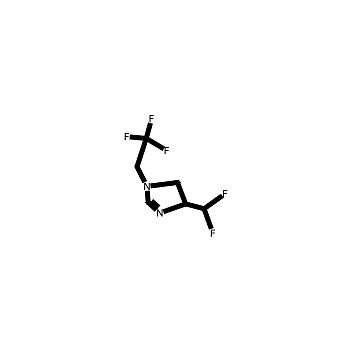 FC(F)C1[CH]N(CC(F)(F)F)[C]=N1